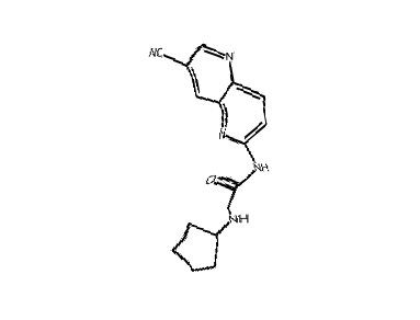 N#Cc1cnc2ccc(NC(=O)NC3CCCC3)nc2c1